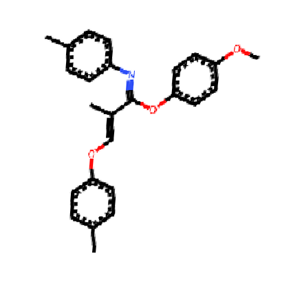 COc1ccc(OC(=Nc2ccc(C)cc2)C(C)=COc2ccc(C)cc2)cc1